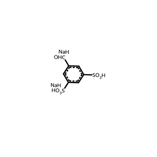 O=Cc1cc(S(=O)(=O)O)cc(S(=O)(=O)O)c1.[NaH].[NaH]